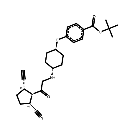 C#C[C@H]1CC[C@@H](C#N)N1C(=O)CN[C@H]1CC[C@H](Oc2ccc(C(=O)OC(C)(C)C)cc2)CC1